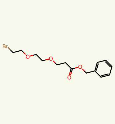 O=C(CCOCCOCCBr)OCc1ccccc1